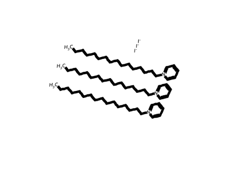 CCCCCCCCCCCCCCCC[n+]1ccccc1.CCCCCCCCCCCCCCCC[n+]1ccccc1.CCCCCCCCCCCCCCCC[n+]1ccccc1.[I-].[I-].[I-]